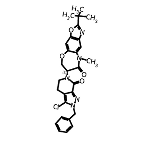 CN1C(=O)[C@@H](N2CCc3c(nn(Cc4ccccc4)c3Cl)C2=O)COc2cc3oc(C(C)(C)C)nc3cc21